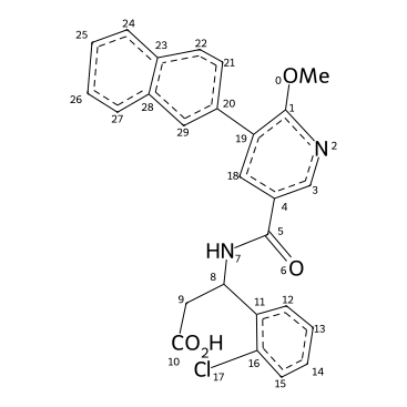 COc1ncc(C(=O)NC(CC(=O)O)c2ccccc2Cl)cc1-c1ccc2ccccc2c1